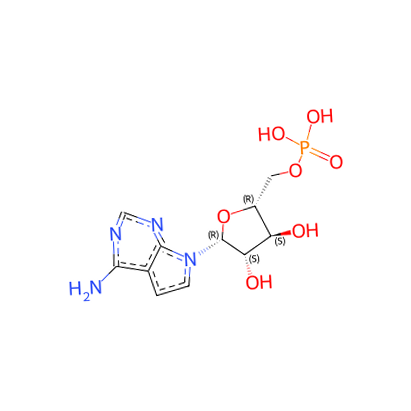 Nc1ncnc2c1ccn2[C@@H]1O[C@H](COP(=O)(O)O)[C@@H](O)[C@@H]1O